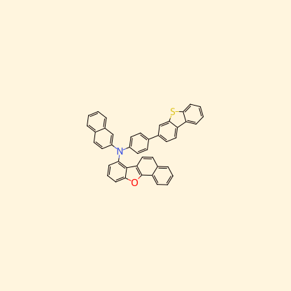 c1ccc2cc(N(c3ccc(-c4ccc5c(c4)sc4ccccc45)cc3)c3cccc4oc5c6ccccc6ccc5c34)ccc2c1